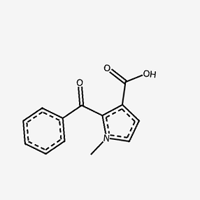 Cn1ccc(C(=O)O)c1C(=O)c1ccccc1